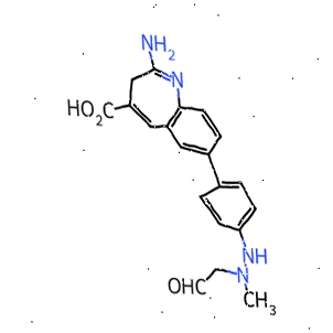 CN(CC=O)Nc1ccc(-c2ccc3c(c2)C=C(C(=O)O)CC(N)=N3)cc1